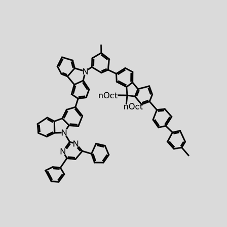 CCCCCCCCC1(CCCCCCCC)c2cc(-c3ccc(-c4ccc(C)cc4)cc3)ccc2-c2ccc(-c3cc(C)cc(-n4c5ccccc5c5cc(-c6ccc7c(c6)c6ccccc6n7-c6nc(-c7ccccc7)cc(-c7ccccc7)n6)ccc54)c3)cc21